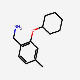 Cc1ccc(CN)c(OC2CCCCC2)c1